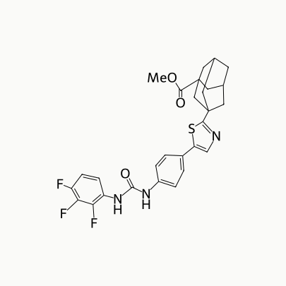 COC(=O)C12CC3CC(C1)CC(c1ncc(-c4ccc(NC(=O)Nc5ccc(F)c(F)c5F)cc4)s1)(C3)C2